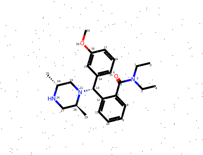 CCN(CC)C(=O)c1ccccc1[C@@H](c1cccc(OC)c1)N1C[C@@H](C)NC[C@@H]1C